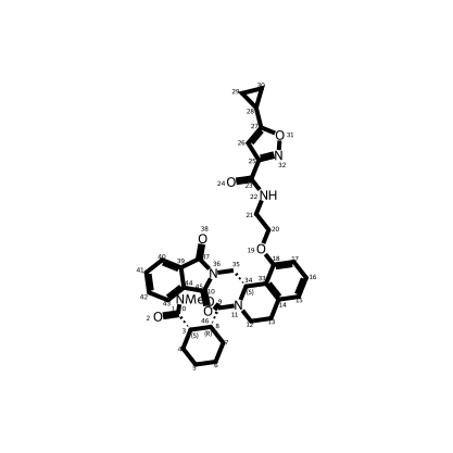 CNC(=O)[C@H]1CCCC[C@H]1C(=O)N1CCc2cccc(OCCNC(=O)c3cc(C4CC4)on3)c2[C@H]1CN1C(=O)c2ccccc2C1=O